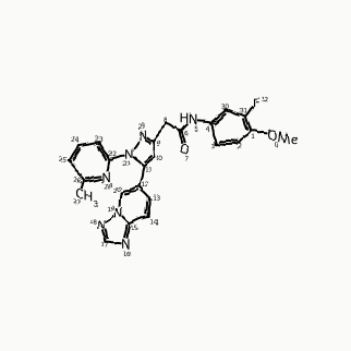 COc1ccc(NC(=O)Cc2cc(-c3ccc4ncnn4c3)n(-c3cccc(C)n3)n2)cc1F